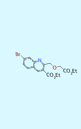 CCOC(=O)COCc1nc2cc(Br)ccc2cc1C(=O)OCC